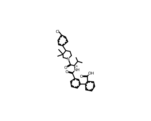 CC(C)[C@@H](NC(=O)c1cccc(-c2ccccc2C(=O)O)c1)C(=O)N1CCC(c2ccc(Cl)cc2)C(C)(C)C1